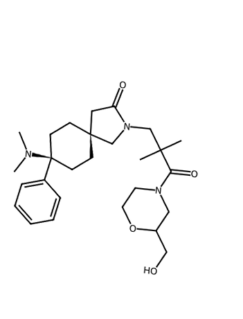 CN(C)[C@]1(c2ccccc2)CC[C@@]2(CC1)CC(=O)N(CC(C)(C)C(=O)N1CCOC(CO)C1)C2